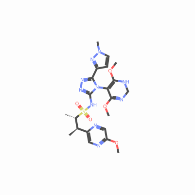 COC1=NCNC(OC)=C1n1c(NS(=O)(=O)[C@@H](C)[C@H](C)c2cnc(OC)cn2)nnc1-c1ccn(C)n1